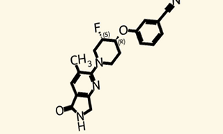 Cc1cc2c(nc1N1CC[C@@H](Oc3cccc(C#N)c3)[C@@H](F)C1)CNC2=O